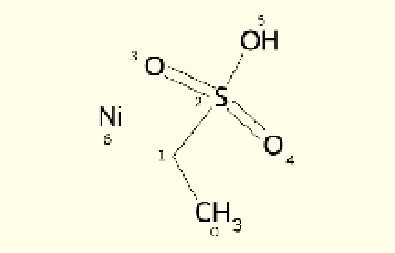 CCS(=O)(=O)O.[Ni]